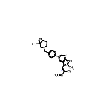 C=N/C(C#N)=C/c1c(C)[nH]c2ncc(-c3ccc(CN4CCCC(C)(O)C4)cc3)cc12